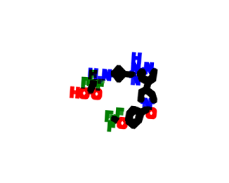 NC1CC(c2nc3c(C4CCN(C(=O)c5ccc(OC(F)(F)F)cc5)CC4)ccnc3[nH]2)C1.O=C(O)C(F)(F)F